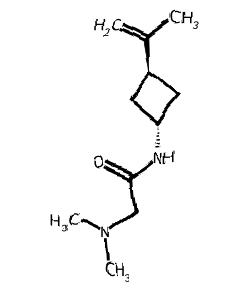 C=C(C)[C@H]1C[C@H](NC(=O)CN(C)C)C1